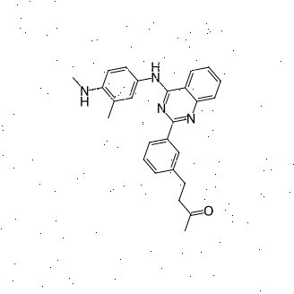 CNc1ccc(Nc2nc(-c3cccc(CCC(C)=O)c3)nc3ccccc23)cc1C